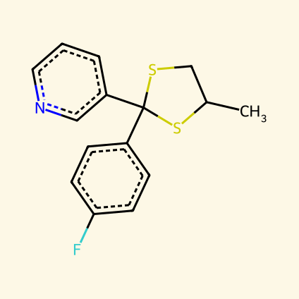 CC1CSC(c2ccc(F)cc2)(c2cccnc2)S1